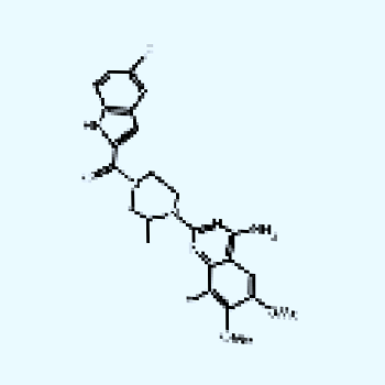 COc1cc2c(N)nc(N3CCN(C(=O)c4cc5cc(F)ccc5[nH]4)CC3C)nc2c(F)c1OC